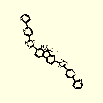 CC1(C)c2cc(-c3nnc(-c4ccc(-c5ccccn5)nc4)o3)ccc2-c2ccc(-c3nnc(-c4ccc(-c5ccccn5)nc4)o3)cc21